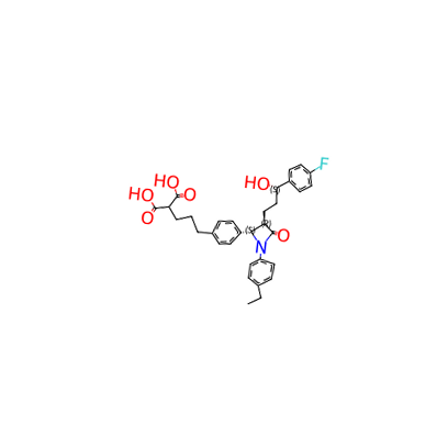 CCc1ccc(N2C(=O)[C@H](CC[C@H](O)c3ccc(F)cc3)[C@H]2c2ccc(CCCC(C(=O)O)C(=O)O)cc2)cc1